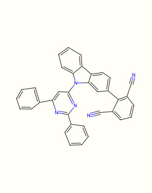 N#Cc1cccc(C#N)c1-c1ccc2c3ccccc3n(-c3cc(-c4ccccc4)nc(-c4ccccc4)n3)c2c1